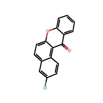 O=c1c2ccccc2oc2ccc3cc(Cl)ccc3c12